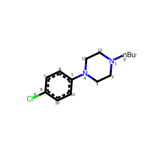 CCC[CH]N1CCN(c2ccc(Cl)cc2)CC1